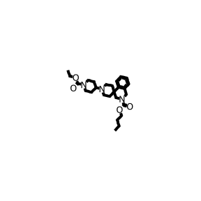 CCCCOC(=O)N1Cc2ccccc2C2(CCN(C3CCN(C(=O)OCC)CC3)CC2)C1